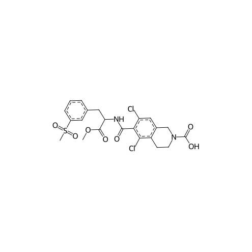 COC(=O)C(Cc1cccc(S(C)(=O)=O)c1)NC(=O)c1c(Cl)cc2c(c1Cl)CCN(C(=O)O)C2